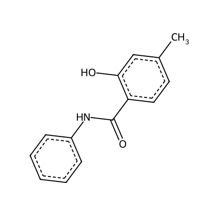 Cc1ccc(C(=O)Nc2ccccc2)c(O)c1